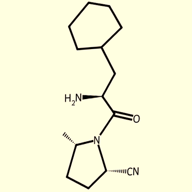 C[C@H]1CC[C@@H](C#N)N1C(=O)[C@@H](N)CC1CCCCC1